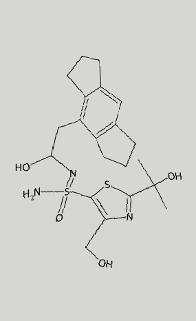 CC(C)(O)c1nc(CO)c(S(N)(=O)=NC(O)Cc2c3c(cc4c2CCC4)CCC3)s1